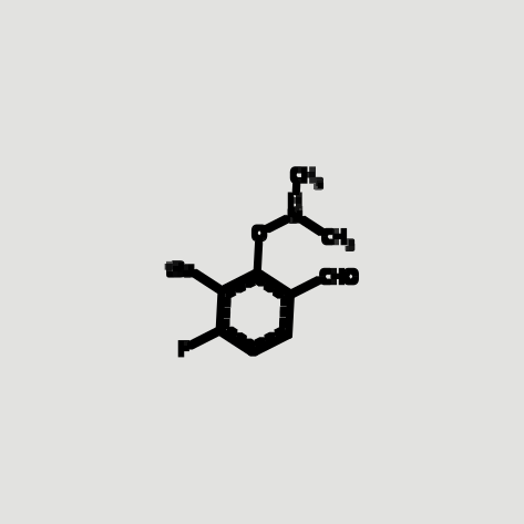 C[SiH](C)Oc1c(C=O)ccc(F)c1C(C)(C)C